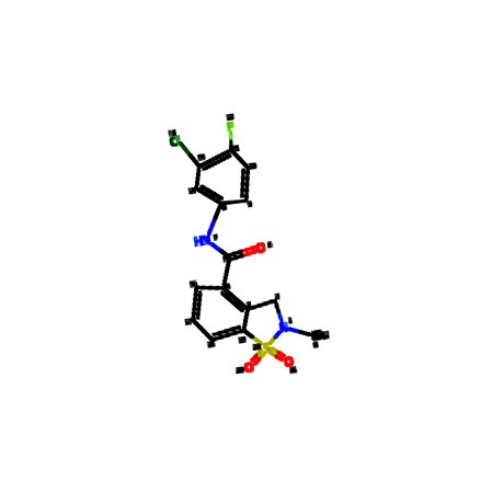 CC(C)(C)N1Cc2c(C(=O)Nc3ccc(F)c(Cl)c3)cccc2S1(=O)=O